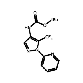 CC(C)(C)OC(=O)Nc1cnn(-c2ccccn2)c1C(F)(F)F